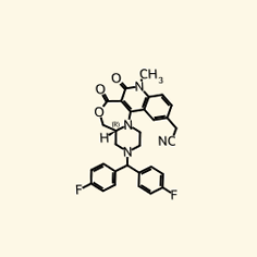 Cn1c(=O)c2c(c3cc(CC#N)ccc31)N1CCN(C(c3ccc(F)cc3)c3ccc(F)cc3)C[C@@H]1COC2=O